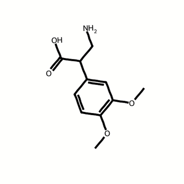 COc1ccc(C(CN)C(=O)O)cc1OC